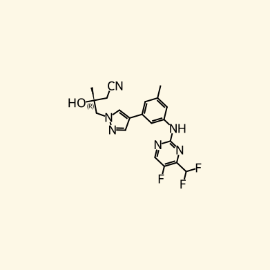 Cc1cc(Nc2ncc(F)c(C(F)F)n2)cc(-c2cnn(C[C@](C)(O)CC#N)c2)c1